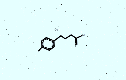 Cc1ccc(CCCC(N)=O)cc1.[Ce]